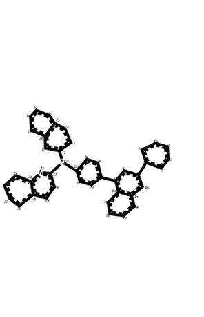 c1ccc(-c2cc(-c3ccc(N(c4ccc5ccccc5c4)c4ccc5ccccc5n4)cc3)c3ccccc3c2)cc1